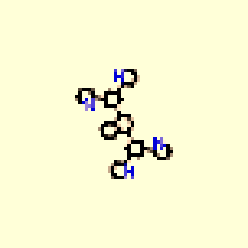 c1ccc(-c2cc(-c3ccccn3)cc(-c3ccc(-c4cc(-c5ccccn5)cc(-c5ccccn5)c4)c4ccccc34)c2)nc1